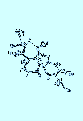 Cc1ccc(CN2C(=O)CC(C(=O)C(C)C)=C(O)c3ccccc32)cc1F